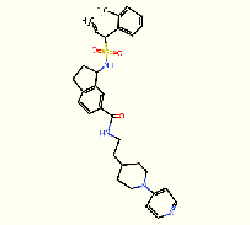 C=CC(c1ccccc1C(F)(F)F)S(=O)(=O)NC1CCc2ccc(C(=O)NCCC3CCN(c4ccncc4)CC3)cc21